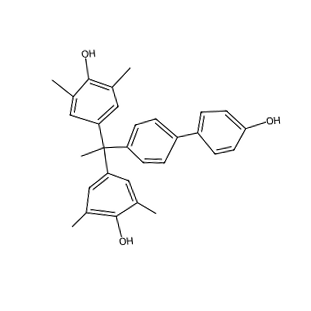 Cc1cc(C(C)(c2ccc(-c3ccc(O)cc3)cc2)c2cc(C)c(O)c(C)c2)cc(C)c1O